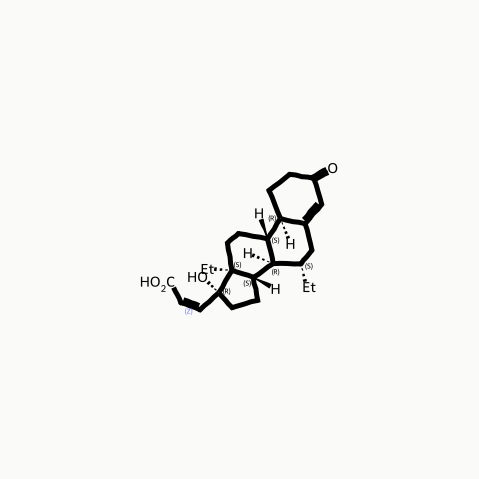 CC[C@H]1CC2=CC(=O)CC[C@@H]2[C@H]2CC[C@@]3(CC)[C@@H](CC[C@@]3(O)/C=C\C(=O)O)[C@H]12